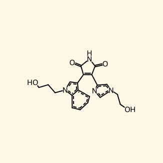 O=C1NC(=O)C(c2cn(CCCO)c3ccccc23)=C1c1cn(CCO)cn1